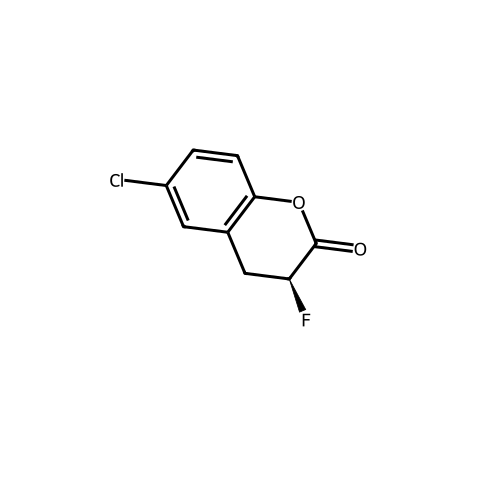 O=C1Oc2ccc(Cl)cc2C[C@@H]1F